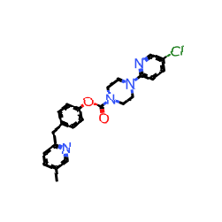 Cc1ccc(Cc2ccc(OC(=O)N3CCN(c4ccc(Cl)cn4)CC3)cc2)nc1